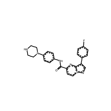 O=C(Nc1ccc(N2CCNCC2)cc1)c1ccn2ncc(-c3ccc(F)cc3)c2n1